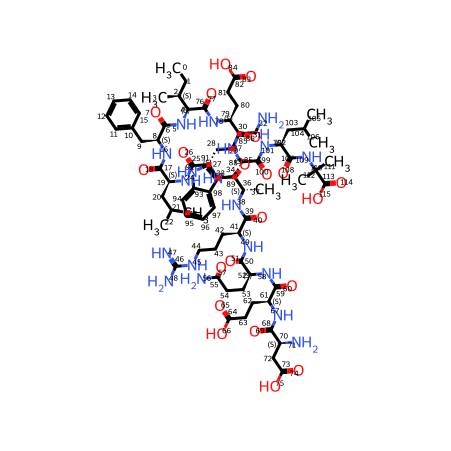 CC[C@H](C)[C@H](NC(=O)[C@H](Cc1ccccc1)NC(=O)[C@H](CC(C)C)NC(=O)[C@H](CCCCN)NC(=O)[C@H](C)NC(=O)[C@H](CCCNC(=N)N)NC(=O)[C@H](CCC(N)=O)NC(=O)[C@H](CCC(=O)O)NC(=O)[C@@H](N)CC(=O)O)C(=O)N[C@@H](CCC(=O)O)C(=O)N[C@@H](Cc1c[nH]c2ccccc12)C(=O)N[C@@H](CC(C)C)C(=O)NC(C)(C)C(=O)O